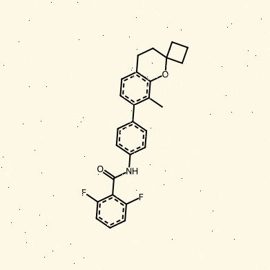 Cc1c(-c2ccc(NC(=O)c3c(F)cccc3F)cc2)ccc2c1OC1(CCC1)CC2